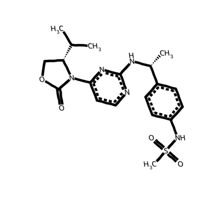 CC(C)[C@H]1COC(=O)N1c1ccnc(N[C@H](C)c2ccc(NS(C)(=O)=O)cc2)n1